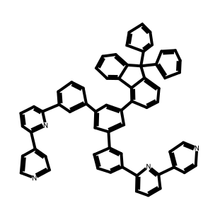 c1ccc(C2(c3ccccc3)c3ccccc3-c3c(-c4cc(-c5cccc(-c6cccc(-c7ccncc7)n6)c5)cc(-c5cccc(-c6cccc(-c7ccncc7)n6)c5)c4)cccc32)cc1